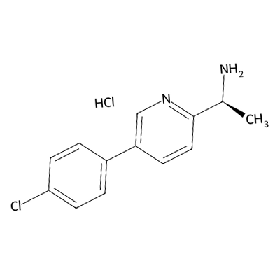 C[C@H](N)c1ccc(-c2ccc(Cl)cc2)cn1.Cl